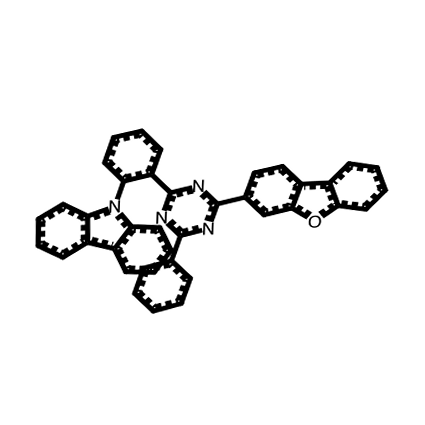 c1ccc(-c2nc(-c3ccc4c(c3)oc3ccccc34)nc(-c3ccccc3-n3c4ccccc4c4ccccc43)n2)cc1